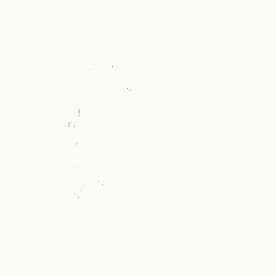 O=C1NC(=O)C2=C1c1cn(c3ncccc13)CCOCCOCCOCCOCCOCCn1cc2c2cccnc21